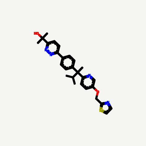 CC(C)C(C)(c1ccc(-c2ccc(C(C)(C)O)nn2)cc1)c1ccc(OCc2nccs2)cn1